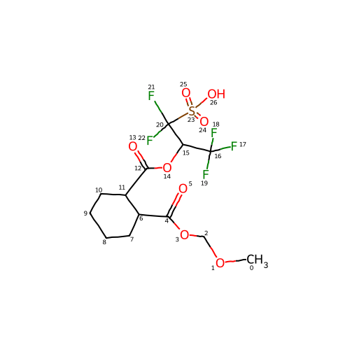 COCOC(=O)C1CCCCC1C(=O)OC(C(F)(F)F)C(F)(F)S(=O)(=O)O